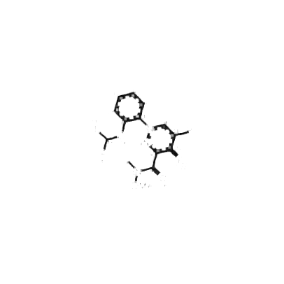 CON(C)C(=O)c1nn(-c2ccccc2OC(F)F)cc(C)c1=O